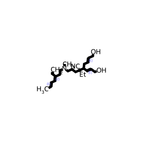 C=C/C(=C\C=C\C)CCN(C)CCCC(C#N)(CC)C(/C=C/CO)C/C=C/CO